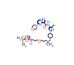 CN(CCCOCCCNC(=O)OC(C)(C)C)C[C@H]1CC[C@H](n2cc(NC(=O)c3cnn4ccc(N5CCOCC5)nc34)c(C(F)F)n2)CC1